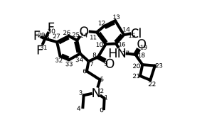 CCN(CC)CCC1C(=O)c2c(ccc(Cl)c2NC(=O)C2CCC2)Oc2cc(C(F)(F)F)ccc21